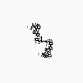 CN[C@@H](C)C(=O)N[C@H](C(=O)N1CCC[C@H]1c1cncc(-c2ccc(F)c(C(=O)NCCCCNC(=O)c3cc(-c4cncc([C@@H]5CCCN5C(=O)[C@@H](NC(=O)[C@H](C)NC)C5CCCCC5)c4)ccc3F)c2)c1)C1CCCCC1